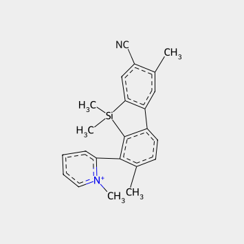 Cc1cc2c(cc1C#N)[Si](C)(C)c1c-2ccc(C)c1-c1cccc[n+]1C